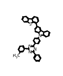 Cc1cccc(-c2nc(-c3ccccc3)nc(-c3ccc(-n4c5ccccc5c5cc(-c6cccc7c6sc6ccccc67)ccc54)cc3)n2)c1